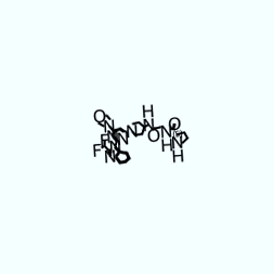 O=C(CNC(=O)[C@@H]1CCCN1)NC1CCN(c2cc(N3CCOCC3)nc(-n3c(C(F)F)nc4ccccc43)n2)CC1